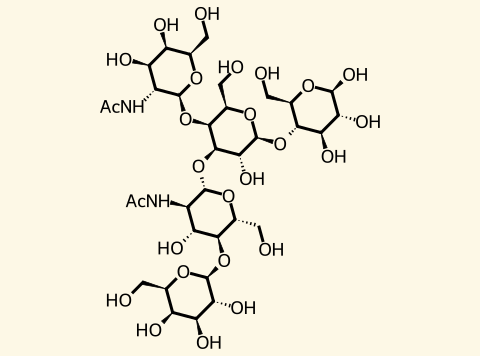 CC(=O)N[C@H]1[C@H](O[C@@H]2[C@@H](O)[C@H](O[C@H]3[C@H](O)[C@@H](O)[C@H](O)O[C@@H]3CO)O[C@H](CO)[C@@H]2O[C@@H]2O[C@H](CO)[C@H](O)[C@H](O)[C@H]2NC(C)=O)O[C@H](CO)[C@@H](O[C@@H]2O[C@H](CO)[C@H](O)[C@H](O)[C@H]2O)[C@@H]1O